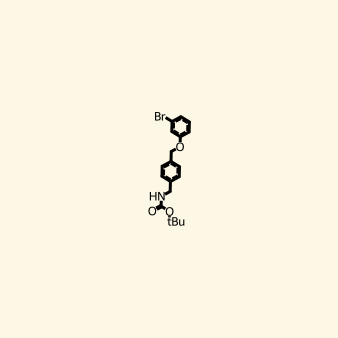 CC(C)(C)OC(=O)NCc1ccc(COc2cccc(Br)c2)cc1